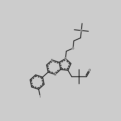 CC(C)(C=O)Cc1cn(COCC[Si](C)(C)C)c2ncc(-c3cccc(I)c3)nc12